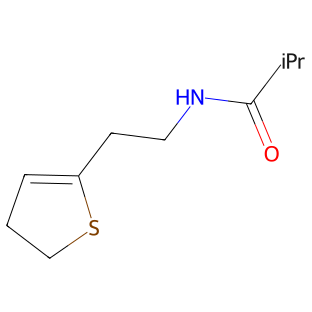 CC(C)C(=O)NCCC1=CCCS1